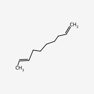 C=CCCCCCC=CC